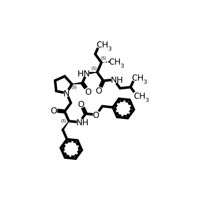 CC[C@H](C)[C@H](NC(=O)[C@@H]1CCCN1CC(=O)[C@H](Cc1ccccc1)NC(=O)OCc1ccccc1)C(=O)NCC(C)C